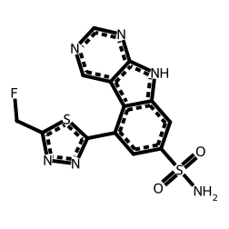 NS(=O)(=O)c1cc(-c2nnc(CF)s2)c2c(c1)[nH]c1ncncc12